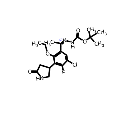 CCOc1c(/C(C)=N\NC(=O)OC(C)(C)C)cc(Cl)c(F)c1C1CNC(=O)C1